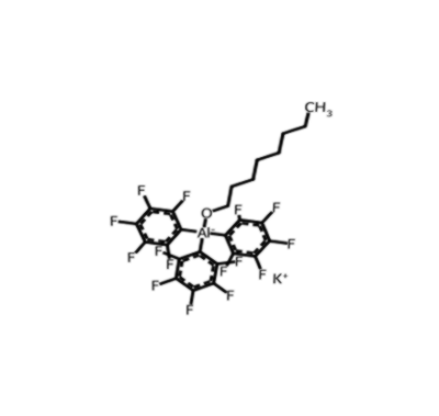 CCCCCCCC[O][Al-]([c]1c(F)c(F)c(F)c(F)c1F)([c]1c(F)c(F)c(F)c(F)c1F)[c]1c(F)c(F)c(F)c(F)c1F.[K+]